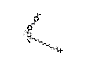 C#CC[C@H](NS(=O)(=O)c1ccc(/N=N/c2ccc(N(C)C)cc2)cc1)C(=O)NCCOCCOCCOCCNC(=O)OC(C)(C)C